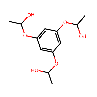 CC(O)Oc1cc(OC(C)O)cc(OC(C)O)c1